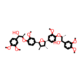 COc1ccc([C@H](O)[C@@H](C)Oc2ccc([C@H]3O[C@H](c4ccc(O[C@H](C)[C@@H](O)c5ccc(OC)c(OC)c5)c(OC)c4)[C@H](C)[C@H]3C)cc2OC)cc1OC